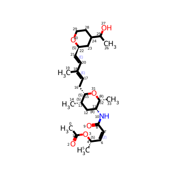 CC(=O)O[C@@H](C)/C=C\C(=O)N[C@@H]1C[C@H](C)[C@H](C/C=C(C)/C=C/[C@@H]2CC(C(C)O)CCO2)O[C@@H]1C